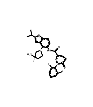 CC(C)n1cc2c(N3CC[C@@](C)(N)C3)c(NC(=O)c3ccc(=O)n(-c4c(F)cccc4F)n3)ccc2n1